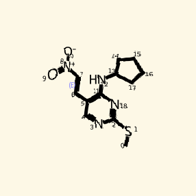 CSc1ncc(/C=C/[N+](=O)[O-])c(NC2CCCC2)n1